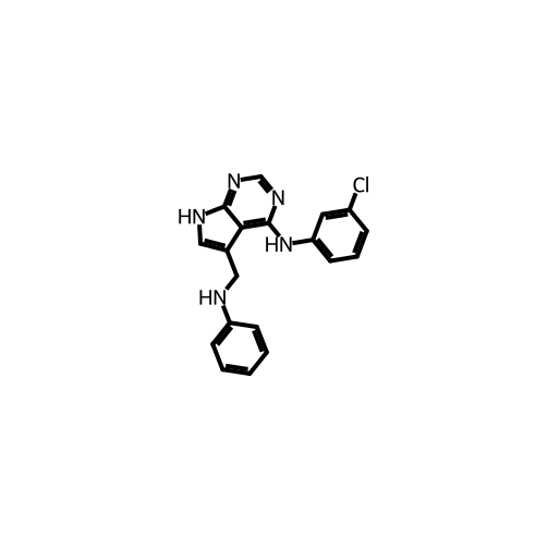 Clc1cccc(Nc2ncnc3[nH]cc(CNc4ccccc4)c23)c1